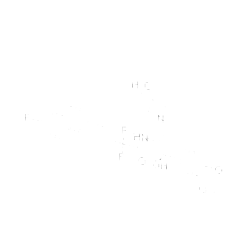 CC1CN(C[C@@H](NC(=O)C(F)(F)CCc2ccc3cc(F)ccc3c2)[C@H](O)c2ccc3c(c2)OCCO3)C1